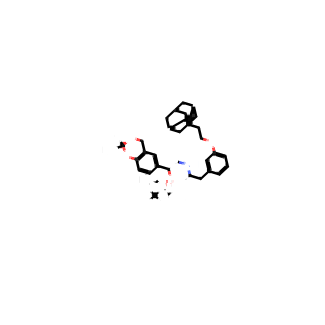 C[C@H](Cc1cccc(OCCC23CC4CC(CC(C4)C2)C3)c1)NC[C@H](O[Si](C)(C)C(C)(C)C)c1ccc2c(c1)COC(C)(C)O2